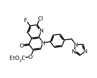 CCOC(=O)Oc1cn(-c2ccc(Cn3cncn3)cc2)c2nc(Cl)c(F)cc2c1=O